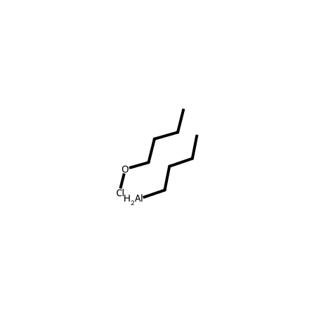 CCCCOCl.CCC[CH2][AlH2]